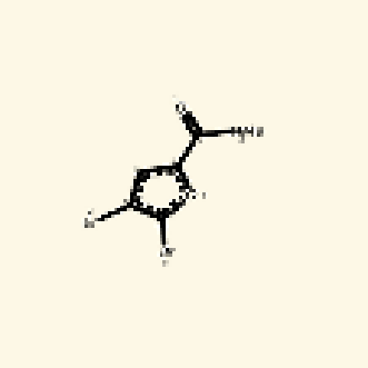 CNC(=O)c1cc(Br)c(Br)o1